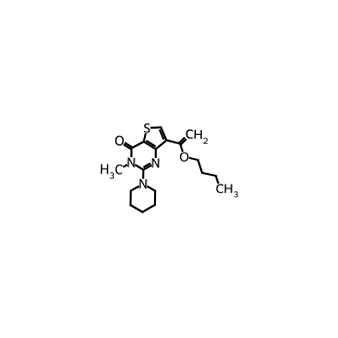 C=C(OCCCC)c1csc2c(=O)n(C)c(N3CCCCC3)nc12